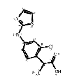 CC(C(=O)O)c1ccc(Nc2nccs2)cc1Cl